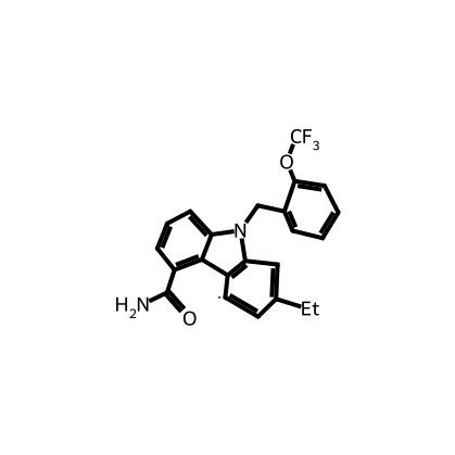 CCc1c[c]c2c3c(C(N)=O)cccc3n(Cc3ccccc3OC(F)(F)F)c2c1